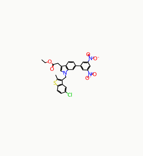 CCOC(=O)Cc1cn(Cc2c(C)sc3ccc(Cl)cc23)c2cc(-c3cc([N+](=O)[O-])cc([N+](=O)[O-])c3)ccc12